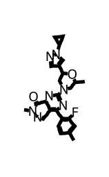 Cc1ccc(-c2nc(N3CC(C)OC(c4cnn(C5CC5)c4)C3)nc3c(=O)n(C)ncc23)c(F)c1